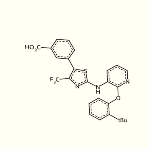 CC(C)(C)c1ccccc1Oc1ncccc1Nc1nc(C(F)(F)F)c(-c2cccc(C(=O)O)c2)s1